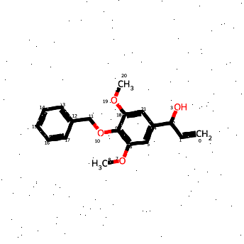 C=CC(O)c1cc(OC)c(OCc2ccccc2)c(OC)c1